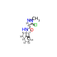 Cn1ncc(C(=O)NC2CCC3CC4CC(C3)C2C4)c1Cl